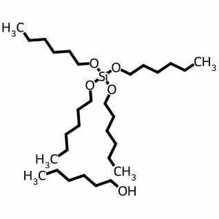 CCCCCCO.CCCCCCO[Si](OCCCCCC)(OCCCCCC)OCCCCCC